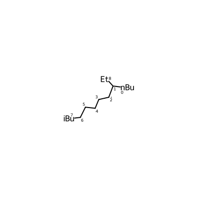 CCCCC([CH]CCCCC(C)CC)CC